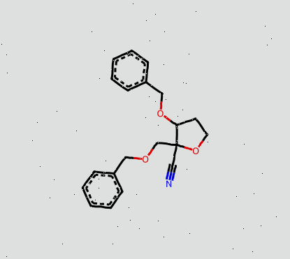 N#CC1(COCc2ccccc2)OCCC1OCc1ccccc1